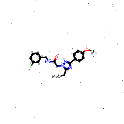 COCc1nc(-c2ccc(OC(F)(F)F)cc2)nn1CC(=O)NCc1cccc(F)c1